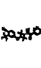 CC1(C)[C@H](NC(=O)C2=CCCN=N2)C(C)(C)[C@H]1Oc1ccc(C#N)c(C(F)(F)F)c1